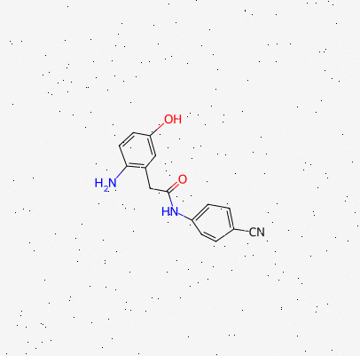 N#Cc1ccc(NC(=O)Cc2cc(O)ccc2N)cc1